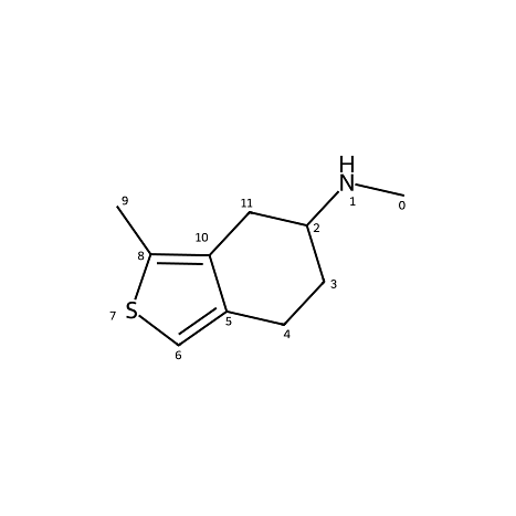 CNC1CCc2csc(C)c2C1